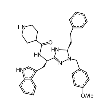 COc1ccc(CN2N=C([C@@H](Cc3c[nH]c4ccccc34)NC(=O)C3CCNCC3)N[C@H]2CCc2ccccc2)cc1